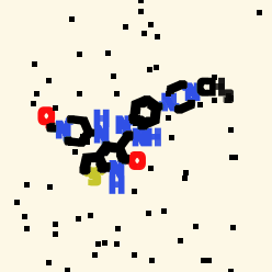 CN1CCN(c2ccc3nc(-c4c(NC5CCN(C=O)CC5)c5ccsc5[nH]c4=O)[nH]c3c2)CC1